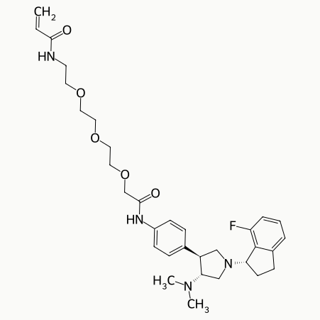 C=CC(=O)NCCOCCOCCOCC(=O)Nc1ccc([C@H]2CN([C@H]3CCc4cccc(F)c43)C[C@@H]2N(C)C)cc1